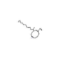 C=CC1CCC/C=C\CCC(C(C)CCCCCCCCl)C1